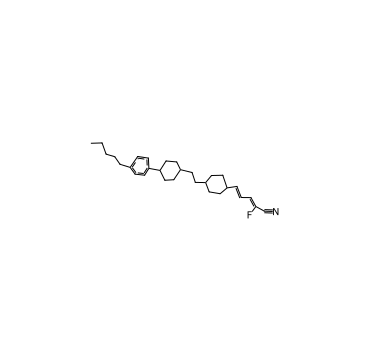 CCCCCc1ccc(C2CCC(CCC3CCC(C=CC=C(F)C#N)CC3)CC2)cc1